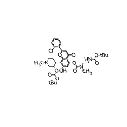 CN1CC[C@H](c2c(O)cc(OC(=O)N(C)CCNC(=O)OC(C)(C)C)c3c(=O)cc(-c4ccccc4Cl)oc23)[C@H](OC(=O)OC(C)(C)C)C1